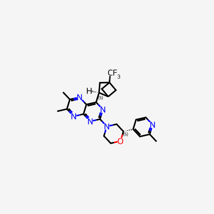 Cc1cc([C@H]2CN(c3nc([C@H]4CC5(C(F)(F)F)CC4C5)c4nc(C)c(C)nc4n3)CCO2)ccn1